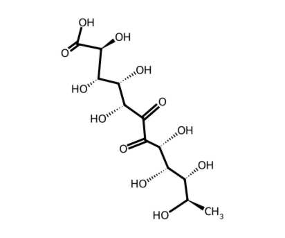 C[C@@H](O)[C@@H](O)[C@H](O)[C@@H](O)C(=O)C(=O)[C@H](O)[C@@H](O)[C@H](O)[C@H](O)C(=O)O